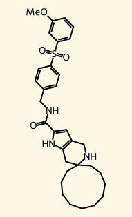 COc1cccc(S(=O)(=O)c2ccc(CNC(=O)c3cc4c([nH]3)CC3(CCCCCCCCCC3)NC4)cc2)c1